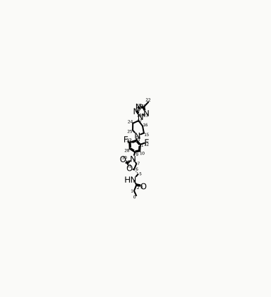 CCC(=O)NC[C@H]1CN(c2cc(F)c(N3CCC(n4nnc(C)n4)CC3)c(F)c2)C(=O)O1